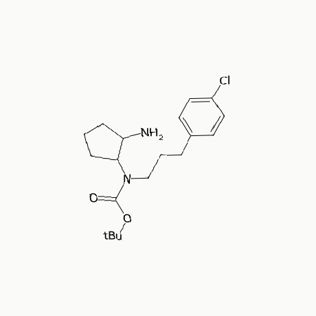 CC(C)(C)OC(=O)N(CCCc1ccc(Cl)cc1)C1CCCC1N